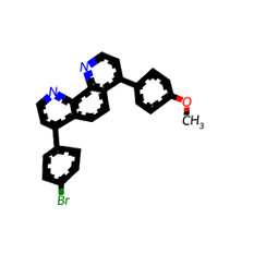 COc1ccc(-c2ccnc3c2ccc2c(-c4ccc(Br)cc4)ccnc23)cc1